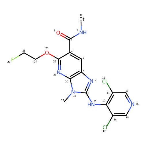 CCNC(=O)c1cc2nc(Nc3c(Cl)cncc3Cl)n(C)c2nc1OCCF